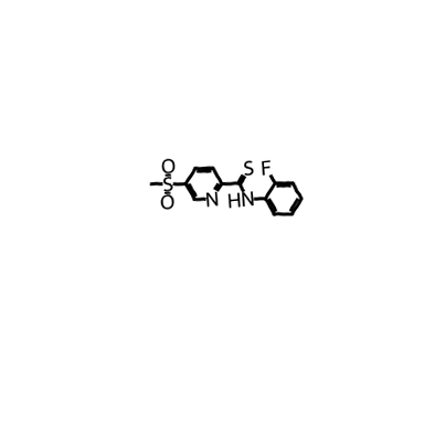 CS(=O)(=O)c1ccc(C(=S)Nc2ccccc2F)nc1